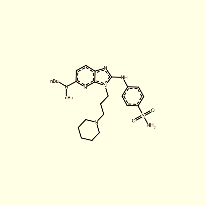 CCCCN(CCCC)c1ccc2nc(Nc3ccc(S(N)(=O)=O)cc3)n(CCCN3CCCCC3)c2n1